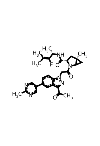 CC(=O)c1nn(CC(=O)N2C3C[C@]3(C)C[C@H]2C(=O)N[C@@H](C)C(F)=C(C)C)c2ccc(-c3cnc(C)nc3)cc12